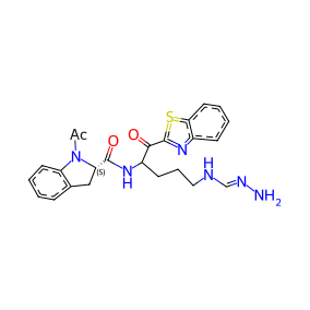 CC(=O)N1c2ccccc2C[C@H]1C(=O)NC(CCCNC=NN)C(=O)c1nc2ccccc2s1